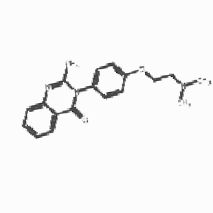 Cc1nc2ccccc2c(=O)n1-c1ccc(OCCN(C)C)cc1